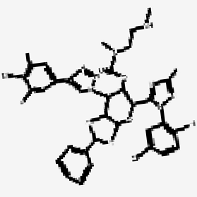 CNCCN(C)C(=O)OC1C(c2nc(C)nn2-c2cc(Cl)ccc2Cl)OC2OC(c3ccccc3)OC2C1n1cc(-c2cc(F)c(Cl)c(F)c2)nn1